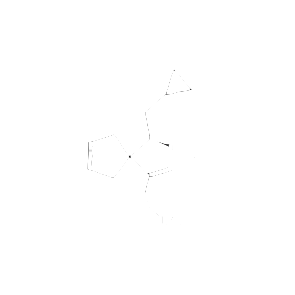 CC(C)(C)OC(=O)C1([C@@H](CC2CC2)C(=O)O)CC=CC1